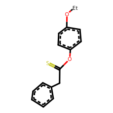 CCOc1ccc(OC(=S)Cc2ccccc2)cc1